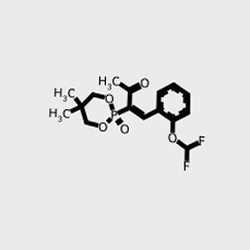 CC(=O)/C(=C\c1ccccc1OC(F)F)P1(=O)OCC(C)(C)CO1